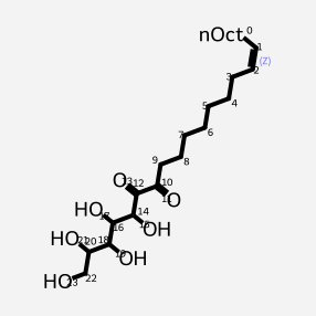 CCCCCCCC/C=C\CCCCCCCC(=O)C(=O)C(O)C(O)C(O)C(O)CO